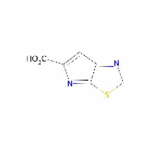 O=C(O)C1=CC2=NCSC2=N1